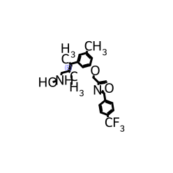 C/C(CNO)=C(/C)c1cc(C)cc(OCc2coc(-c3ccc(C(F)(F)F)cc3)n2)c1